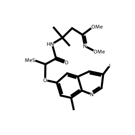 CON=C(CC(C)(C)NC(=O)C(Oc1cc(C)c2ncc(I)cc2c1)SC)OC